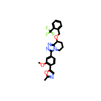 COc1cc(-c2nnc3n2CCCC3OCc2ccccc2C(F)(F)F)ccc1-c1cnc(C)o1